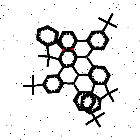 CC(C)(C)c1ccc(N2B3c4c(ccc5c4-c4ccccc4C5(C)C)N(c4ccc(C(C)(C)C)cc4-c4ccccc4)c4cc5c(c(c43)-c3cc(C(C)(C)C)ccc32)C(C)(C)c2ccccc2-5)cc1